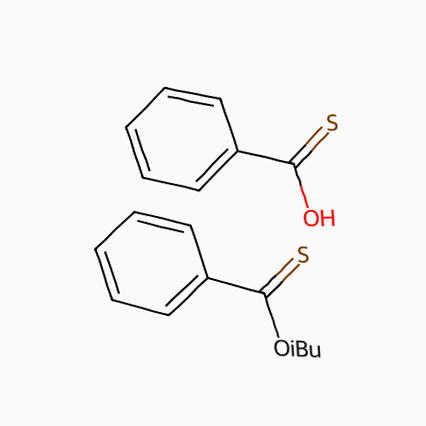 CC(C)COC(=S)c1ccccc1.OC(=S)c1ccccc1